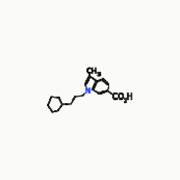 Cc1cn(CCCC2CCCCC2)c2cc(C(=O)O)ccc12